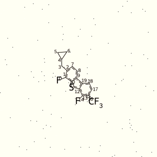 Fc1c(CC2CC2)ccc2c1sc1c(F)c(C(F)(F)F)ccc12